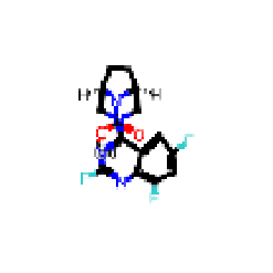 CC(C)(C)OC(=O)N1[C@@H]2CC[C@H]1CN(c1nc(F)nc3c(F)cc(F)cc13)C2